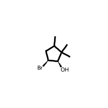 CC1C[C@H](Br)[C@H](O)C1(C)C